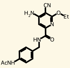 CCOc1nc(C(=O)NCc2ccc(NC(C)=O)cc2)cc(N)c1C#N